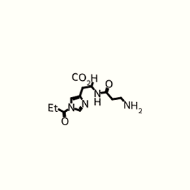 CCC(=O)n1cnc(CC(NC(=O)CCN)C(=O)O)c1